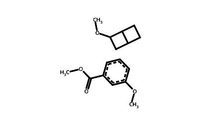 COC(=O)c1cccc(OC)c1.COC1CC2CCC21